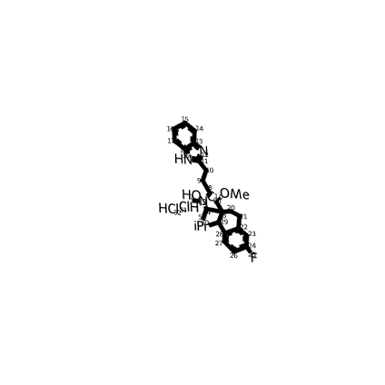 CO[C@H](C(=O)O)C1(C(C)N(C)CCCc2nc3ccccc3[nH]2)CCc2cc(F)ccc2C1C(C)C.Cl.Cl